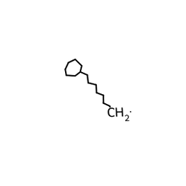 [CH2]CCCCCCCC1CCCCCC1